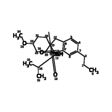 CCCc1ccc2c(c1)C1(NC(=O)N(C(C)C)C1=O)C1(CCC(OC)CC1)C2